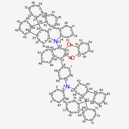 c1ccc(N(c2ccc(-c3c4c(c(N(c5ccccc5)c5ccc6c(c5)C(c5ccccc5)(c5ccccc5)c5ccccc5-6)c5ccccc35)Oc3ccccc3O4)cc2)c2ccc3c(c2)C(c2ccccc2)(c2ccccc2)c2ccccc2-3)cc1